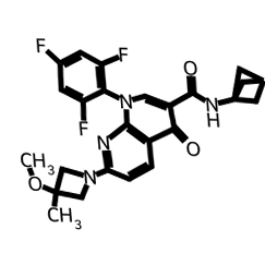 COC1(C)CN(c2ccc3c(=O)c(C(=O)NC45CC(C4)C5)cn(-c4c(F)cc(F)cc4F)c3n2)C1